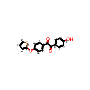 O=C(C(=O)c1ccc(Oc2cccs2)cc1)c1ccc(O)cc1